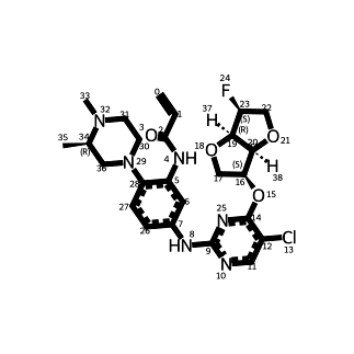 C=CC(=O)Nc1cc(Nc2ncc(Cl)c(O[C@H]3CO[C@@H]4[C@H]3OC[C@@H]4F)n2)ccc1N1CCN(C)[C@H](C)C1